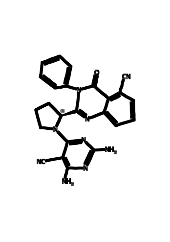 N#Cc1c(N)nc(N)nc1N1CCC[C@H]1c1nc2cccc(C#N)c2c(=O)n1-c1ccccc1